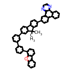 CC1(C)c2cc(-c3cccc(-c4cccc(-c5cccc6c5oc5ccccc56)c4)c3)ccc2-c2ccc(-c3ccc4c5ccccc5c5nccnc5c4c3)cc21